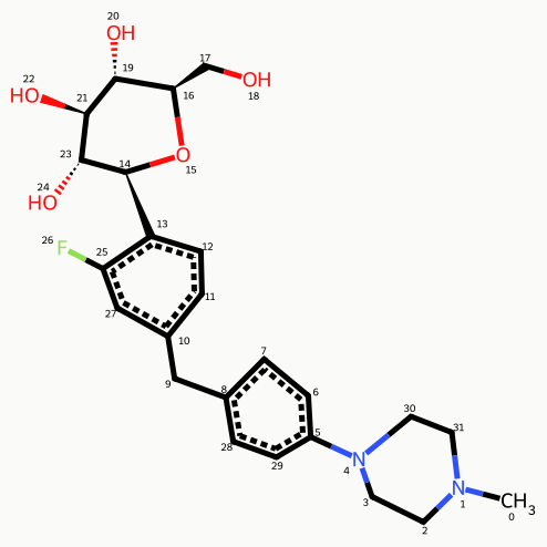 CN1CCN(c2ccc(Cc3ccc([C@@H]4O[C@H](CO)[C@@H](O)[C@H](O)[C@H]4O)c(F)c3)cc2)CC1